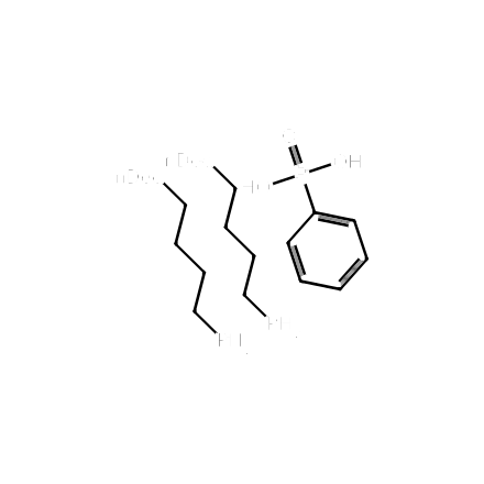 CCCCCCCCCCCCCCP.CCCCCCCCCCCCCCP.O=P(O)(O)c1ccccc1